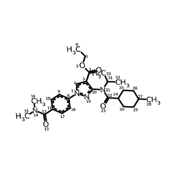 CCOC(=O)c1cn(-c2ccc(C(=O)N(C)C)cc2)nc1N(C(=O)C1CCC(C)CC1)C(C)C